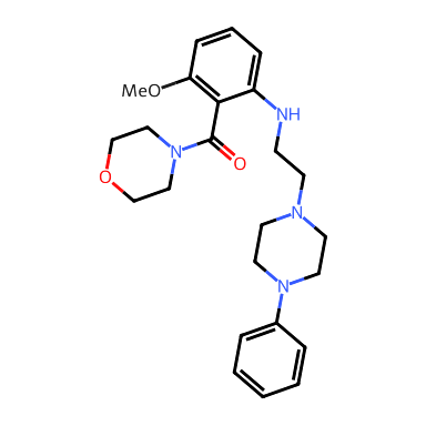 COc1cccc(NCCN2CCN(c3ccccc3)CC2)c1C(=O)N1CCOCC1